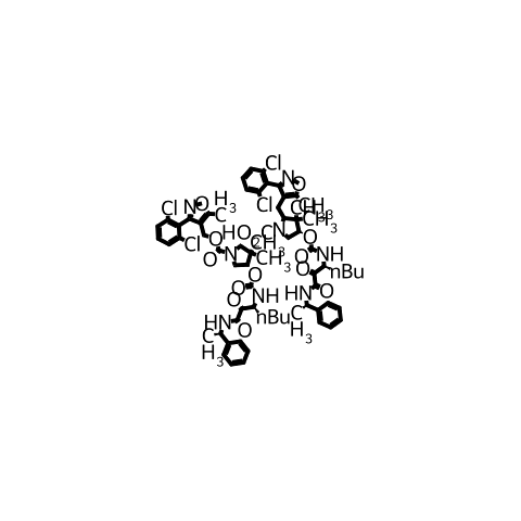 CCCC[C@H](NC(=O)O[C@@H]1CN(C(=O)O)C(Cc2c(-c3c(Cl)cccc3Cl)noc2C)C1(C)C)C(=O)C(=O)N[C@H](C)c1ccccc1.CCCC[C@H](NC(=O)O[C@@H]1CN(C(=O)OCc2c(-c3c(Cl)cccc3Cl)noc2C)CC1(C)C)C(=O)C(=O)N[C@H](C)c1ccccc1